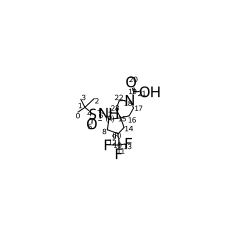 CC(C)(C)[S+]([O-])N[C@@H]1C[C@H](C(F)(F)F)CC12CCN(C(=O)O)CC2